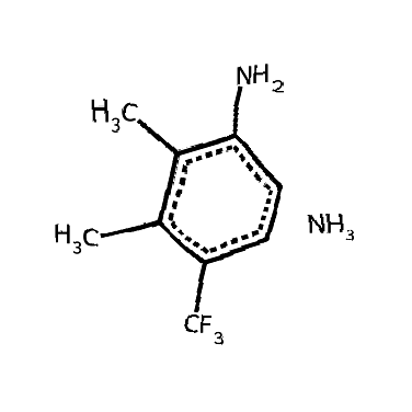 Cc1c(N)ccc(C(F)(F)F)c1C.N